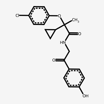 CC(Oc1ccc(Cl)cc1)(C(=O)NCC(=O)c1ccc(O)cc1)C1CC1